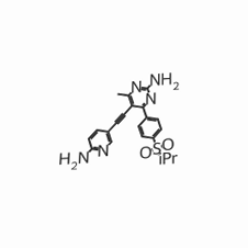 Cc1nc(N)nc(-c2ccc(S(=O)(=O)C(C)C)cc2)c1C#Cc1ccc(N)nc1